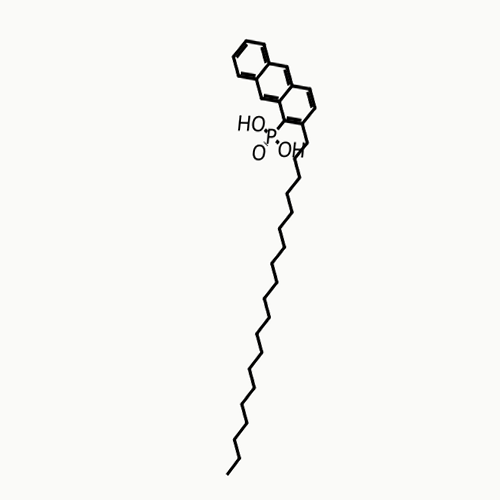 CCCCCCCCCCCCCCCCCCCCc1ccc2cc3ccccc3cc2c1P(=O)(O)O